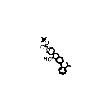 CC(C)c1ccccc1-c1ccc2c(c1)C(O)C1(CCN(C(=O)OC(C)(C)C)CC1)C2